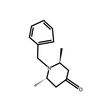 C[C@H]1CC(=O)C[C@H](C)N1Cc1ccccc1